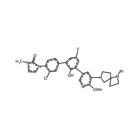 COc1ncc(-c2cc(F)cc(-c3ccc(-n4ccn(C)c4=O)c(Cl)c3)c2O)cc1N1CCC2(CCN2C(C)C)C1